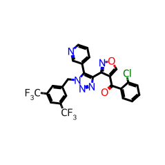 O=C(c1ccccc1Cl)c1conc1-c1nnn(Cc2cc(C(F)(F)F)cc(C(F)(F)F)c2)c1-c1cccnc1